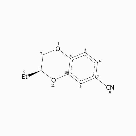 CC[C@H]1COc2ccc(C#N)cc2O1